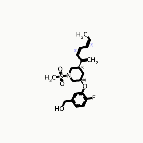 C=C(/C=C\C=C/C)[C@H]1C[C@@H](Oc2cc(CO)ccc2F)CN(S(C)(=O)=O)C1